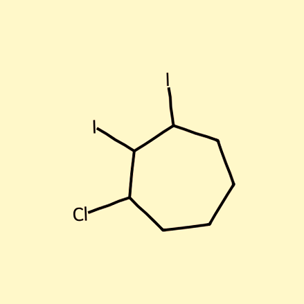 ClC1CCCCC(I)C1I